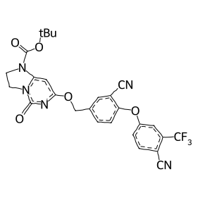 CC(C)(C)OC(=O)N1CCn2c1cc(OCc1ccc(Oc3ccc(C#N)c(C(F)(F)F)c3)c(C#N)c1)nc2=O